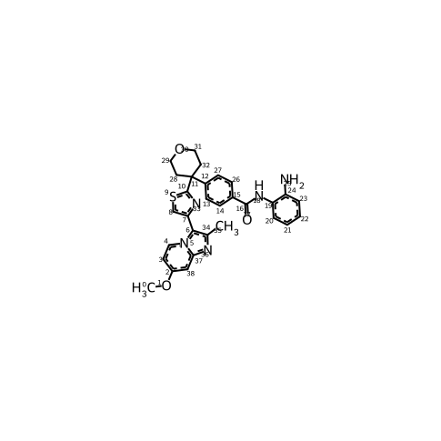 COc1ccn2c(-c3csc(C4(c5ccc(C(=O)Nc6ccccc6N)cc5)CCOCC4)n3)c(C)nc2c1